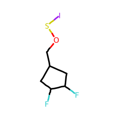 FC1CC(COSI)CC1F